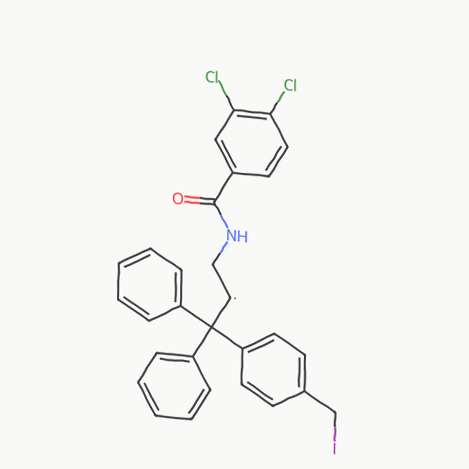 O=C(NC[CH]C(c1ccccc1)(c1ccccc1)c1ccc(CI)cc1)c1ccc(Cl)c(Cl)c1